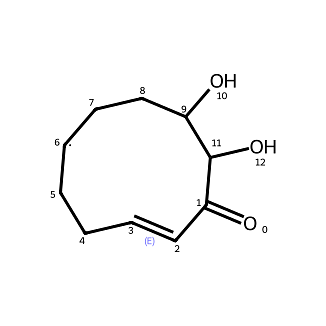 O=C1/C=C/CC[CH]CCC(O)C1O